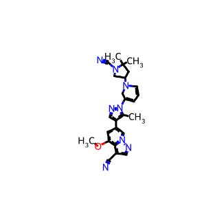 COc1cc(-c2cnn(C3=CC=CN(C4CN(C#N)C(C)(C)C4)C3)c2C)cn2ncc(C#N)c12